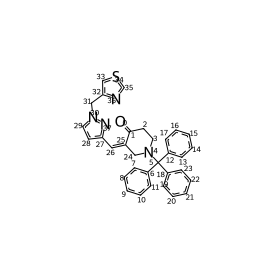 O=C1CCN(C(c2ccccc2)(c2ccccc2)c2ccccc2)C/C1=C/c1ccn(Cc2cscn2)n1